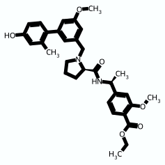 CCOC(=O)c1ccc([C@H](C)NC(=O)[C@H]2CCCN2Cc2cc(OC)cc(-c3ccc(O)cc3C)c2)cc1OC